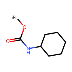 CC(C)OC(=O)NC1CCCCC1